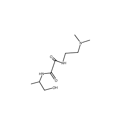 CC(CO)NC(=O)C(=O)NCCN(C)C